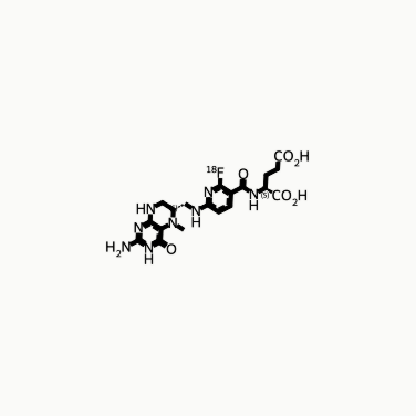 CN1c2c(nc(N)[nH]c2=O)NC[C@@H]1CNc1ccc(C(=O)N[C@@H](CCC(=O)O)C(=O)O)c([18F])n1